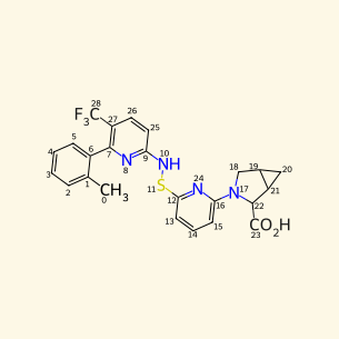 Cc1ccccc1-c1nc(NSc2cccc(N3CC4CC4C3C(=O)O)n2)ccc1C(F)(F)F